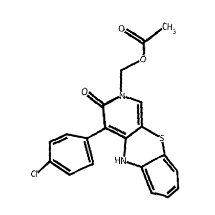 CC(=O)OCn1cc2c(c(-c3ccc(Cl)cc3)c1=O)Nc1ccccc1S2